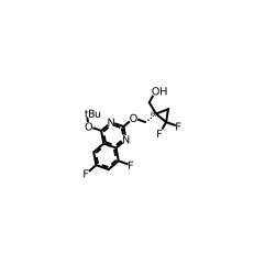 CC(C)(C)Oc1nc(OC[C@]2(CO)CC2(F)F)nc2c(F)cc(F)cc12